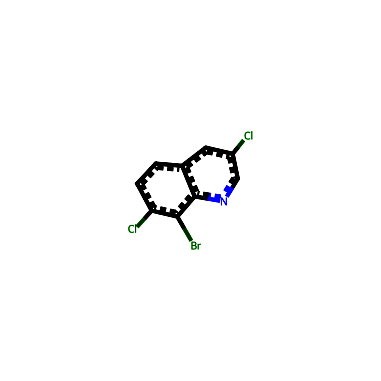 Clc1cnc2c(Br)c(Cl)ccc2c1